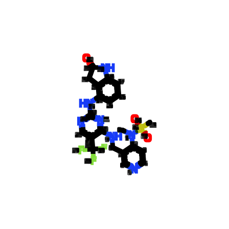 CN(c1ccncc1CNc1nc(Nc2cccc3c2CC(=O)N3)ncc1C(F)(F)F)S(C)(=O)=O